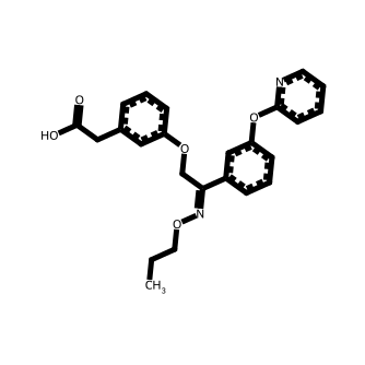 CCCO/N=C(\COc1cccc(CC(=O)O)c1)c1cccc(Oc2ccccn2)c1